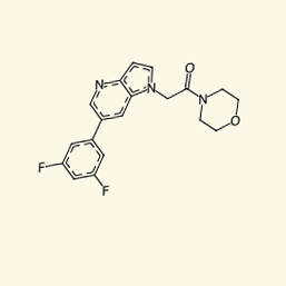 O=C(Cn1ccc2ncc(-c3cc(F)cc(F)c3)cc21)N1CCOCC1